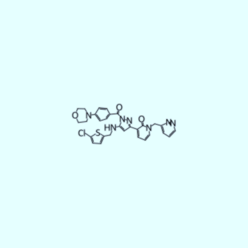 O=C(c1ccc(N2CCOCC2)cc1)n1nc(-c2cccn(Cc3cccnn3)c2=O)cc1NCc1ccc(Cl)s1